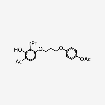 CCCc1c(OCCCOc2ccc(OC(C)=O)cc2)ccc(C(C)=O)c1O